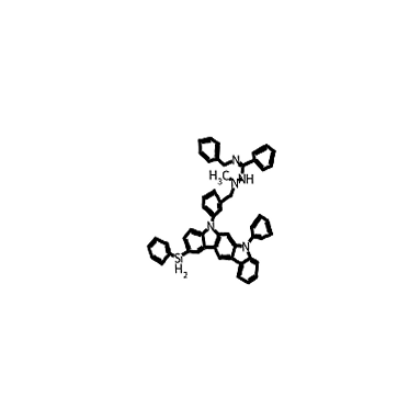 CN(Cc1cccc(-n2c3ccc([SiH2]c4ccccc4)cc3c3cc4c5ccccc5n(-c5ccccc5)c4cc32)c1)N/C(=N\Cc1ccccc1)c1ccccc1